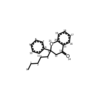 CCCCCC1(c2ccccc2)CC(=O)c2ccccc2O1